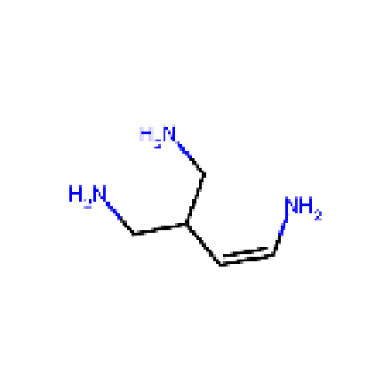 N/C=C\C(CN)CN